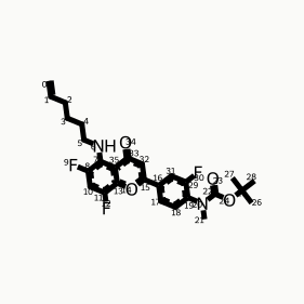 C=CCCCCNc1c(F)cc(F)c2oc(-c3ccc(N(C)C(=O)OC(C)(C)C)c(F)c3)cc(=O)c12